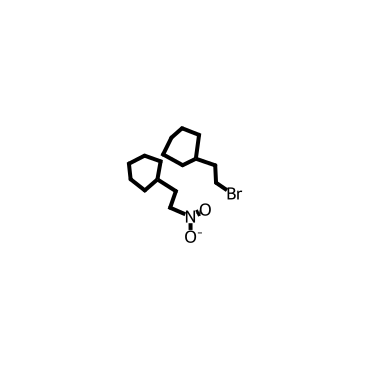 BrCCC1CCCCC1.O=[N+]([O-])CCC1CCCCC1